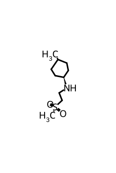 CS(=O)(=O)CCN[C@H]1CC[C@@H](C)CC1